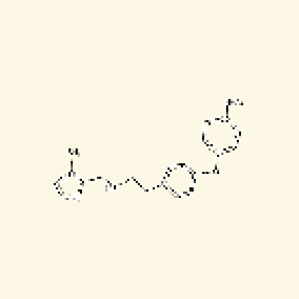 CC(=O)Nc1ccc(Oc2ccc(CCNCc3sccc3C)cc2)cc1